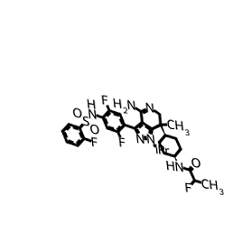 CC(F)C(=O)N[C@H]1CC[C@H](C2(C)CN=C(N)c3c(-c4cc(F)c(NS(=O)(=O)c5ccccc5F)cc4F)nn(C(C)C)c32)CC1